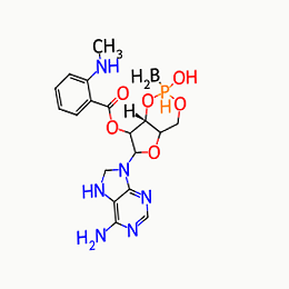 B[PH]1(O)OCC2OC(N3CNc4c(N)ncnc43)C(OC(=O)c3ccccc3NC)[C@@H]2O1